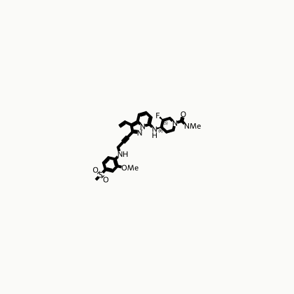 C=Cc1c(C#CCNc2ccc(S(C)(=O)=O)cc2OC)nn2c(N[C@@H]3CCN(C(=O)NC)C[C@@H]3F)cccc12